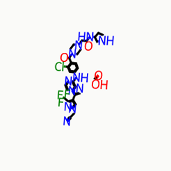 N#CCn1cc(-c2cnc3c(Nc4ccc(C(=O)N5CCN(CC(=O)NC6CCNC6)CC5)c(Cl)c4)nccn23)c(C(F)(F)F)n1.O=CO